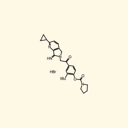 Br.CC(C)(C)c1cc(C(=O)CN2Cc3ccc(C4CC4)nc3C2=N)ccc1OC(=O)N1CCCC1